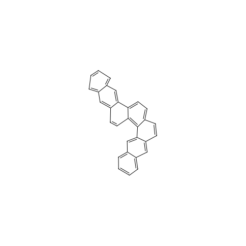 c1ccc2cc3c(ccc4c3ccc3ccc5cc6ccccc6cc5c34)cc2c1